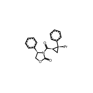 CC(C)[C@@]1(c2ccccc2)C[C@H]1C(=O)N1C(=O)OC[C@H]1c1ccccc1